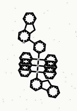 c1ccc([Si](c2ccccc2)(c2cccc(-c3nccc4c3Cc3ccccc3-4)c2)[Si](c2ccccc2)(c2ccccc2)[Si](c2ccccc2)(c2ccccc2)c2cccc3c2Cc2ccccc2-3)cc1